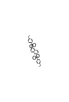 CCc1ccc(C(=O)Oc2ccc3cc(OC(=O)c4ccc(CC)cc4)ccc3c2)cc1